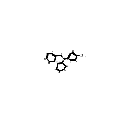 Cc1ccc(N(CC2=CC=CCC2)C2=CC=CCC2)cc1